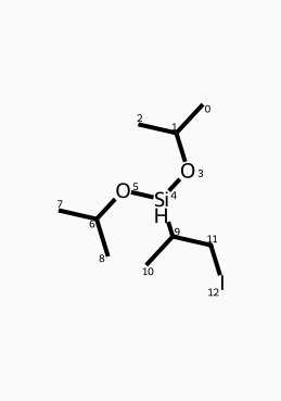 CC(C)O[SiH](OC(C)C)C(C)CI